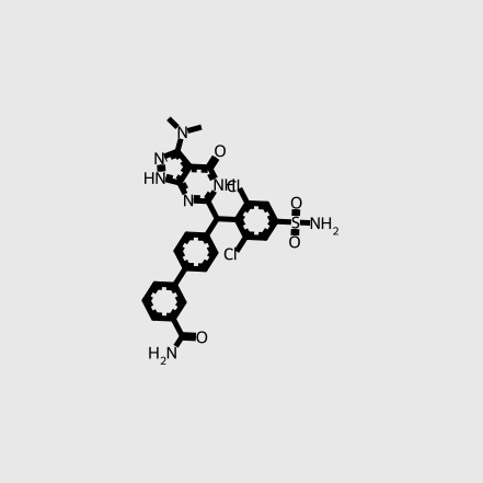 CN(C)c1n[nH]c2nc(C(c3ccc(-c4cccc(C(N)=O)c4)cc3)c3c(Cl)cc(S(N)(=O)=O)cc3Cl)[nH]c(=O)c12